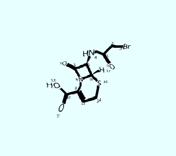 O=C(CBr)N[C@@H]1C(=O)N2C(C(=O)O)=CCS[C@@H]12